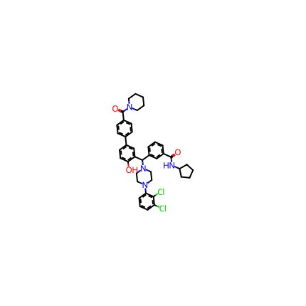 O=C(NC1CCCC1)c1cccc(C(c2cc(-c3ccc(C(=O)N4CCCCC4)cc3)ccc2O)N2CCN(c3cccc(Cl)c3Cl)CC2)c1